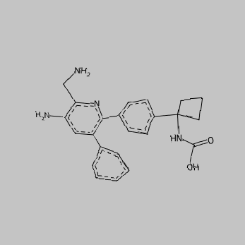 NCc1nc(-c2ccc(C3(NC(=O)O)CCC3)cc2)c(-c2ccccc2)cc1N